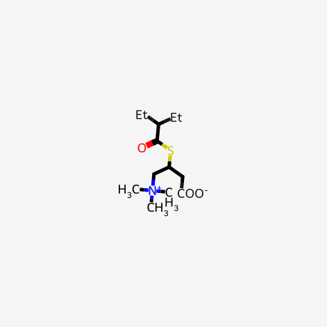 CCC(CC)C(=O)SC(CC(=O)[O-])C[N+](C)(C)C